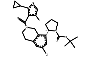 Cc1cnn(C2CC2)c1C(=O)N1CCc2cc(Cl)cc([C@@H]3CCCN3C(=O)OC(C)(C)C)c2C1